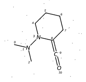 CN(C)N1CCCCC1=C=O